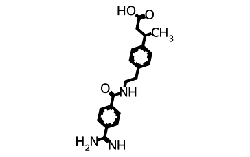 CC(CC(=O)O)c1ccc(CCNC(=O)c2ccc(C(=N)N)cc2)cc1